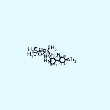 C=CCC(NC(=O)OC(C)(C)C)c1cc(-c2ccc(N)cc2N)ccn1